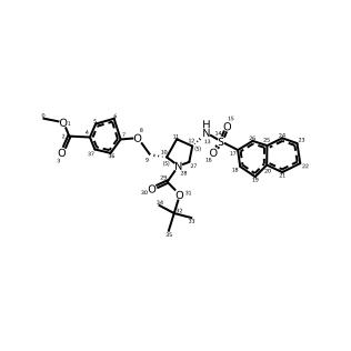 COC(=O)c1ccc(OC[C@@H]2C[C@H](NS(=O)(=O)c3ccc4ccccc4c3)CN2C(=O)OC(C)(C)C)cc1